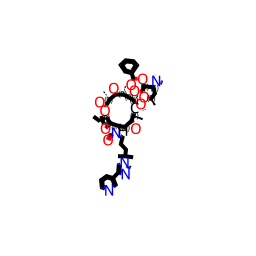 CC[C@H]1OC(=O)[C@H](C)C(=O)[C@H](C)[C@@H](OC2O[C@H](C)C[C@H](N(C)C)[C@H]2OC(=O)c2ccccc2)[C@@](C)(OC)C[C@@H](C)C(=O)[C@H](C)[C@H]2N(CCCC(C)(C)n3cnc(-c4cccnc4)c3)C(=O)O[C@]12CC